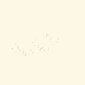 CCc1c(Nc2cc(-n3cccn3)ncn2)n[nH]c1-c1ccc(F)cc1